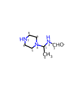 CC(N[C]=O)N1CCNCC1